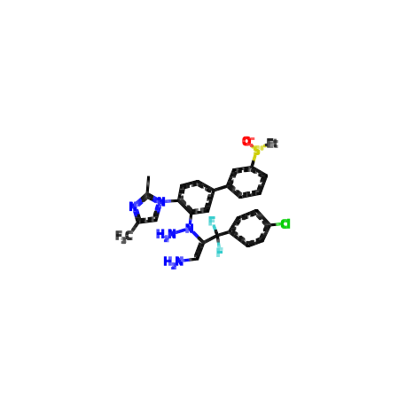 CC[S+]([O-])c1cccc(-c2ccc(-n3cc(C(F)(F)F)nc3C)c(N(N)/C(=C\N)C(F)(F)c3ccc(Cl)cc3)c2)c1